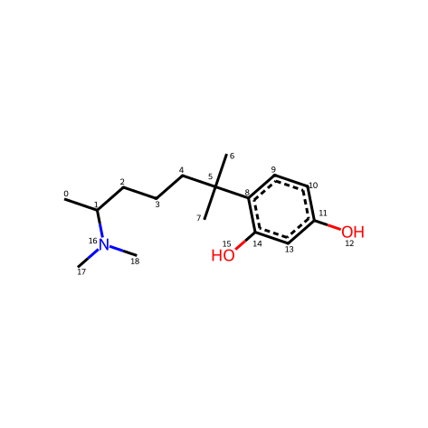 CC(CCCC(C)(C)c1ccc(O)cc1O)N(C)C